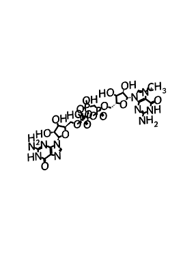 C[n+]1cn([C@@H]2O[C@H](COP(=O)(O)CP(=O)(O)OP(=O)(O)OC[C@H]3O[C@@H](n4cnc5c(=O)[nH]c(N)nc54)[C@@H](O)C3O)C(O)[C@@H]2O)c2nc(N)[nH]c(=O)c21